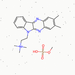 COS(=O)(=O)O.Cc1cc2nc3c4ccccc4n(CC[N+](C)(C)C)c3nc2cc1C